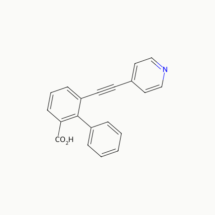 O=C(O)c1cccc(C#Cc2ccncc2)c1-c1ccccc1